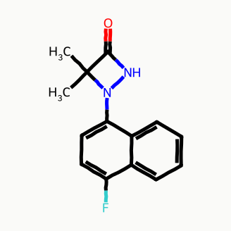 CC1(C)C(=O)NN1c1ccc(F)c2ccccc12